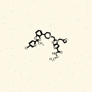 CONC(=O)c1cc2c(nc(CN3CCC(c4cccc5c4OC(C)(c4ccc(Cl)cn4)O5)CC3)n2CC2CCO2)s1